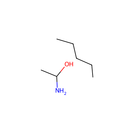 CC(N)O.CCCCC